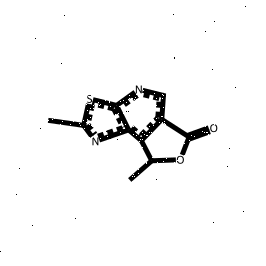 Cc1nc2c3c(cnc2s1)C(=O)OC3C